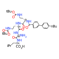 CCCCc1ccc(-c2ccc(C(=O)N[C@@H](CCNC(=O)OC(C)(C)C)C(=O)N[C@@H](CCNC(=O)OC(C)(C)C)C(=O)N[C@@H](N)C(=O)N[C@@H](CC(C)C)C(=O)O)cc2)cc1